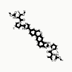 COC(=O)NC(C(=O)N1C[C@@H](C)CC1c1ncc(-c2ccc3c(c2)COc2cc4c(ccc5nc([C@@H]6CC[C@H](C)N6C(=O)[C@@H](NC(=O)OC)C(C)C)[nH]c54)cc2-3)[nH]1)[C@@H](C)OC